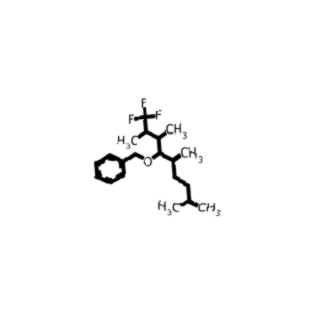 C[C](C)CCC(C)C(OCc1ccccc1)C(C)C(C)C(F)(F)F